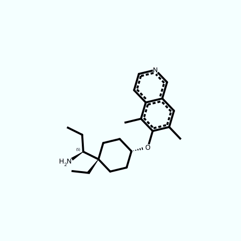 CC[C@H](N)[C@]1(CC)CC[C@H](Oc2c(C)cc3cnccc3c2C)CC1